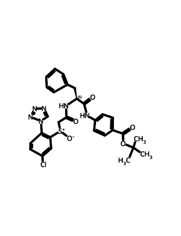 CC(C)(C)OC(=O)c1ccc(NC(=O)[C@H](Cc2ccccc2)NC(=O)C[S+]([O-])c2cc(Cl)ccc2-n2cnnn2)cc1